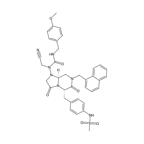 COc1ccc(CNC(=O)N(CC#N)N2CC(=O)N3[C@@H](Cc4ccc(NS(C)(=O)=O)cc4)C(=O)N(Cc4cccc5ccccc45)C[C@@H]32)cc1